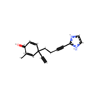 C#CC1(CCC#Cc2ncc[nH]2)C=CC(=O)C(C)=C1